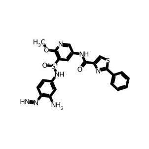 COc1ncc(NC(=O)c2csc(-c3ccccc3)n2)cc1[S+]([O-])Nc1ccc(N=N)c(N)c1